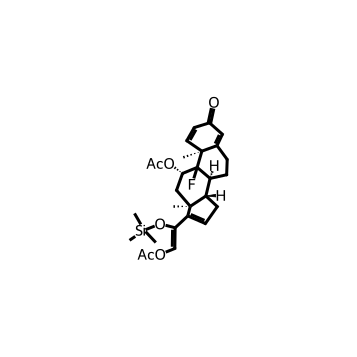 CC(=O)OC=C(O[Si](C)(C)C)C1=CC[C@H]2[C@@H]3CCC4=CC(=O)C=C[C@]4(C)C3(F)[C@@H](OC(C)=O)C[C@]12C